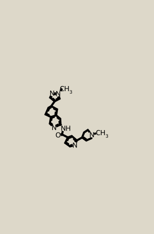 CN1CC=C(c2cc(C(=O)Nc3cc4cc(-c5cnn(C)c5)ccc4cn3)ccn2)CC1